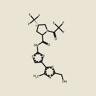 Cc1nc(CO)sc1-c1csc(NC(=O)C2C[C@H](C(F)(F)F)CN2C(=O)C(F)(F)F)n1